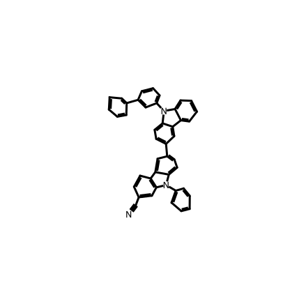 N#Cc1ccc2c3cc(-c4ccc5c(c4)c4ccccc4n5-c4cccc(-c5ccccc5)c4)ccc3n(-c3ccccc3)c2c1